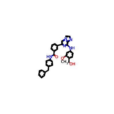 COc1cc(Nc2nc(-c3cccc(C(=O)Nc4ccc(Cc5ccccc5)cc4)c3)cn3ccnc23)ccc1CO